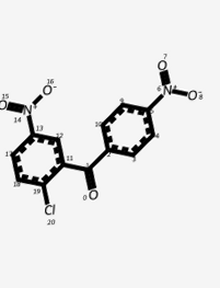 O=C(c1ccc([N+](=O)[O-])cc1)c1cc([N+](=O)[O-])ccc1Cl